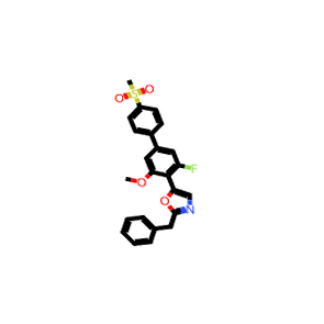 COc1cc(-c2ccc(S(C)(=O)=O)cc2)cc(F)c1-c1cnc(Cc2ccccc2)o1